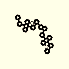 c1ccc(-c2cccc(-c3c4ccccc4c(-c4cccc5c4oc4cccc(-c6ccc7c(-c8cccc(-c9c%10ccccc%10c(-c%10cccc%11c%10oc%10ccccc%10%11)c%10ccccc9%10)c8)cccc7c6)c45)c4ccccc34)c2)cc1